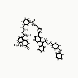 O=C(NCc1ccc(-c2cccc(C(C(=O)OCC3CCN(Cc4ccccc4)CC3)c3ccccc3)c2)s1)c1cccc(CNC[C@H](O)c2ccc(O)c3[nH]c(=O)ccc23)c1